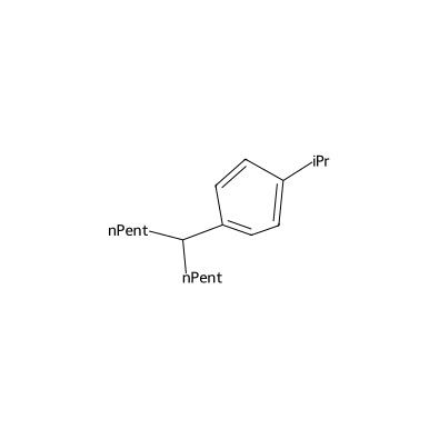 CCCCCC(CCCCC)c1ccc(C(C)C)cc1